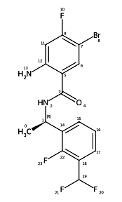 C[C@@H](NC(=O)c1cc(Br)c(F)cc1N)c1cccc(C(F)F)c1F